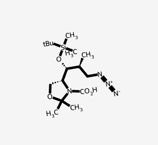 C[C@@H](CN=[N+]=[N-])[C@@H](O[Si](C)(C)C(C)(C)C)[C@H]1COC(C)(C)N1C(=O)O